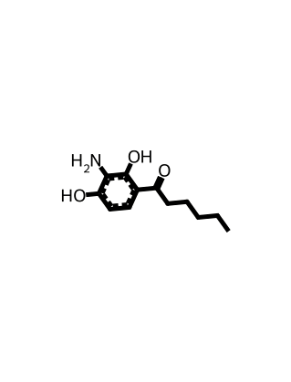 CCCCCC(=O)c1ccc(O)c(N)c1O